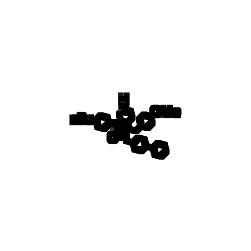 CCCCc1ccc(NC(=O)N(Cc2ccc(-c3ccccc3)cc2)C(Cc2ccc(OC)cc2)C2CCNCC2)cc1